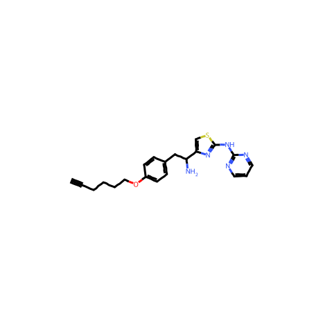 C#CCCCCOc1ccc(CC(N)c2csc(Nc3ncccn3)n2)cc1